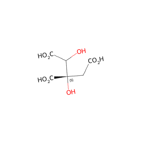 O=C(O)C[C@@](O)(C(=O)O)C(O)C(=O)O